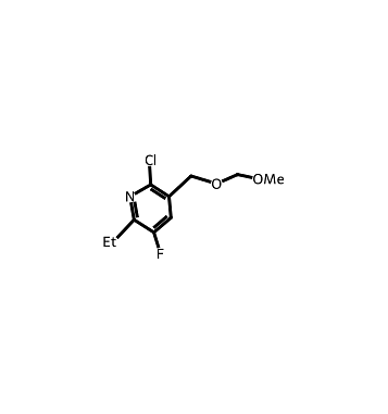 CCc1nc(Cl)c(COCOC)cc1F